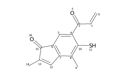 C=CC(=O)c1cc2c(c(C)c1S)C=C(C)C2=O